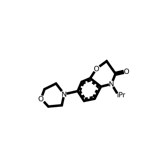 CC(C)N1C(=O)COc2cc(N3CCOCC3)ccc21